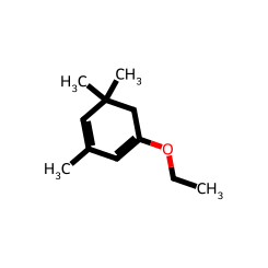 CCOC1=CC(C)=CC(C)(C)C1